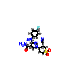 N#C[C@@H]1CS(=O)(=O)CCC1n1cc(C(N)=O)c(Nc2ccc(F)cc2)n1